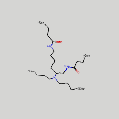 CCCCCCCCCCCCCN(CCCCCCCCCCCCC)C(CCCCNC(=O)CCCCCCCCCCCC)CNC(=O)CCCCCCCCCCCC